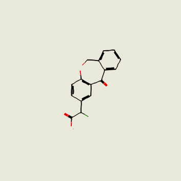 O=C1c2ccccc2COc2ccc(C(Cl)C(=O)O)cc21